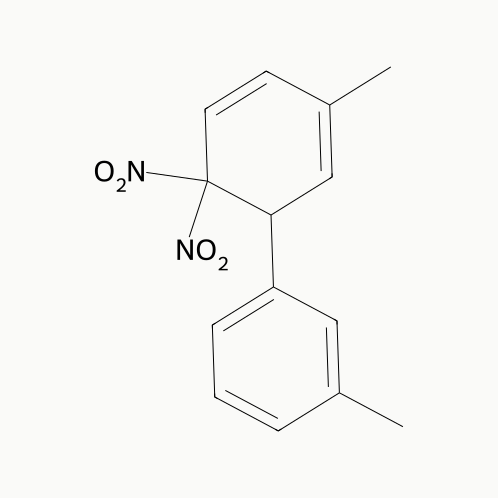 CC1=CC(c2cccc(C)c2)C([N+](=O)[O-])([N+](=O)[O-])C=C1